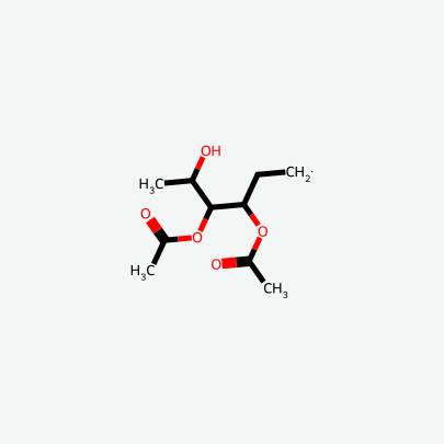 [CH2]CC(OC(C)=O)C(OC(C)=O)C(C)O